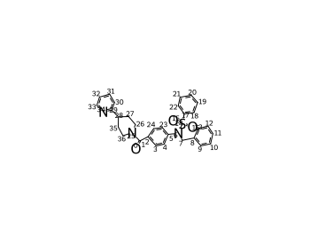 O=C(c1ccc(N(Cc2ccccc2)S(=O)(=O)c2ccccc2)cc1)N1CCC(c2ccccn2)CC1